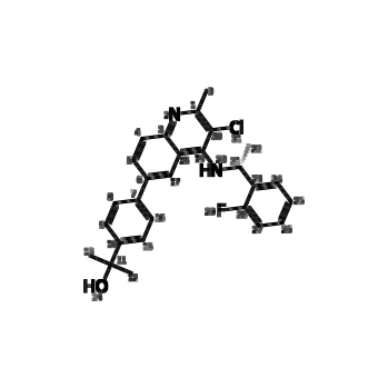 Cc1nc2ccc(-c3ccc(C(C)(C)O)cc3)cc2c(N[C@H](C)c2ccccc2F)c1Cl